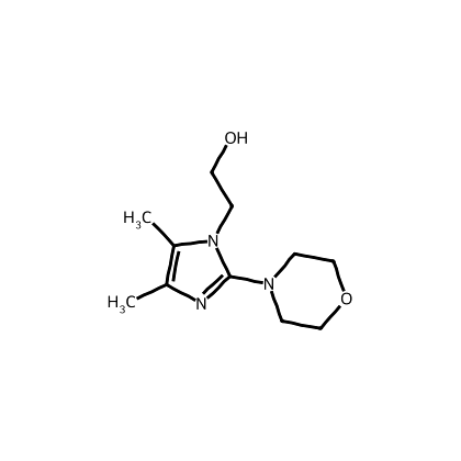 Cc1nc(N2CCOCC2)n(CCO)c1C